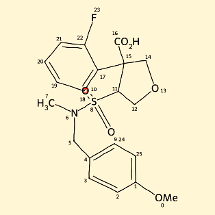 COc1ccc(CN(C)S(=O)(=O)C2COCC2(C(=O)O)c2ccccc2F)cc1